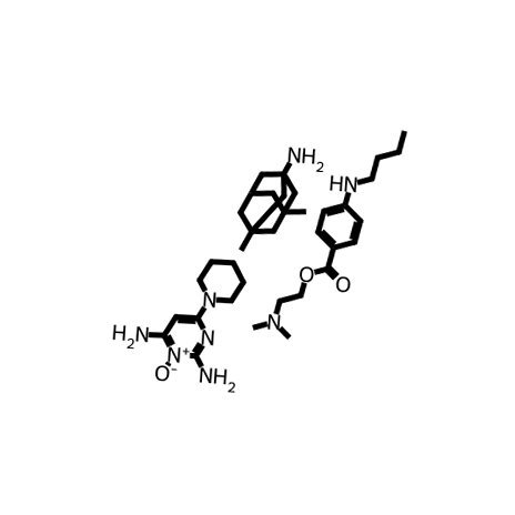 CC12CC3CC(C)(C1)CC(N)(C3)C2.CCCCNc1ccc(C(=O)OCCN(C)C)cc1.Nc1cc(N2CCCCC2)nc(N)[n+]1[O-]